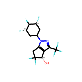 O[C@H]1c2c(C(F)(F)F)nn(C3C[C@@H](F)C(F)[C@@H](F)C3)c2CC1(F)F